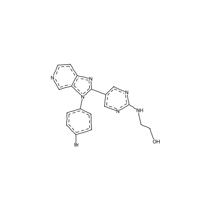 OCCNc1ncc(-c2nc3ccncc3n2-c2ccc(Br)cc2)cn1